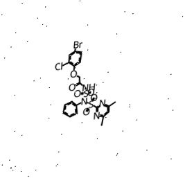 Cc1cc(C)nc(S(=O)(=O)N(c2ccccc2)S(=O)(=O)NC(=O)COc2ccc(Br)cc2Cl)n1